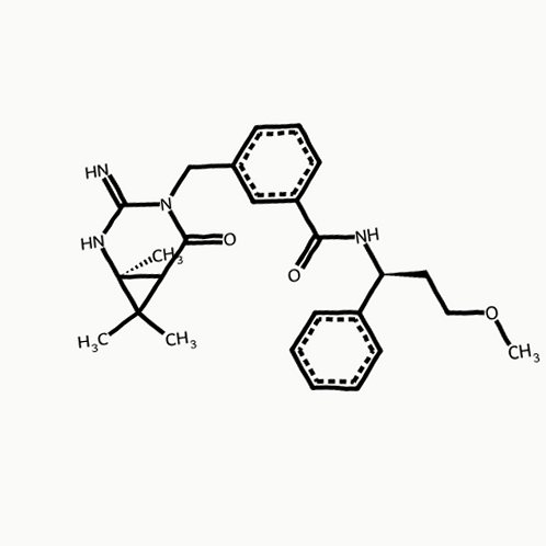 COCC[C@H](NC(=O)c1cccc(CN2C(=N)N[C@@]3(C)C(C2=O)C3(C)C)c1)c1ccccc1